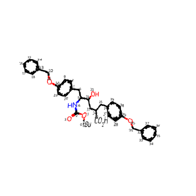 CC(C)(C)OC(=O)NC(Cc1ccc(OCc2ccccc2)cc1)C(O)CC(Cc1ccc(OCc2ccccc2)cc1)C(=O)O